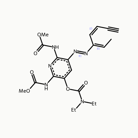 C#C\C=C/C(=C\C)/N=N/c1cc(OC(=O)N(CC)CC)c(NC(=O)OC)nc1NC(=O)OC